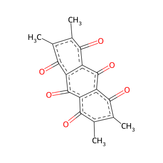 Cc1c(C)c(=O)c2c(=O)c3c(=O)c(C)c(C)c(=O)c3c(=O)c2c1=O